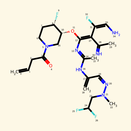 C=CCC(=O)N1CC[C@H](F)[C@H](OC(/N=C(\C)NC(=C)/C=N\N(C)CC(F)F)=C(C(C)=N)\C(F)=C/N)C1